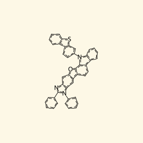 c1ccc(-c2nc3cc4oc5c(ccc6c7ccccc7n(-c7ccc8c(c7)sc7ccccc78)c65)c4cc3n2-c2ccccc2)cc1